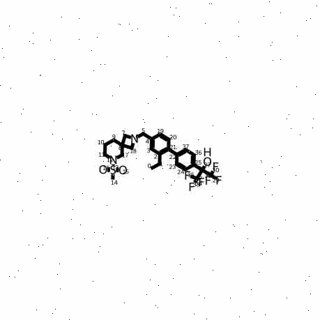 CCc1cc(CN2CC3(CCCN(S(C)(=O)=O)C3)C2)ccc1-c1ccc(C(O)(C(F)(F)F)C(F)(F)F)cc1